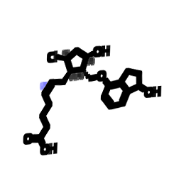 O=C(O)CCC/C=C\C[C@@H]1[C@@H](COc2cccc3c2CCC3O)[C@H](O)C[C@@H]1Cl